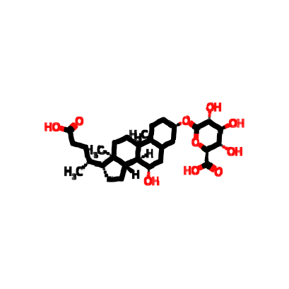 C[C@H](CCC(=O)O)[C@H]1CC[C@H]2[C@@H]3[C@@H](O)CC4C[C@@H](OC5O[C@H](C(=O)O)[C@@H](O)[C@H](O)[C@H]5O)CC[C@]4(C)[C@H]3CC[C@]12C